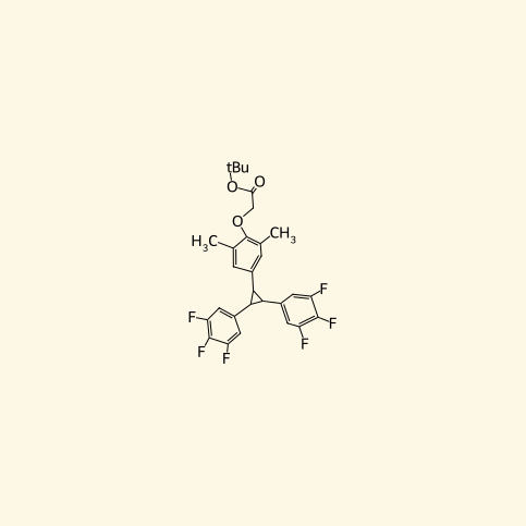 Cc1cc(C2C(c3cc(F)c(F)c(F)c3)C2c2cc(F)c(F)c(F)c2)cc(C)c1OCC(=O)OC(C)(C)C